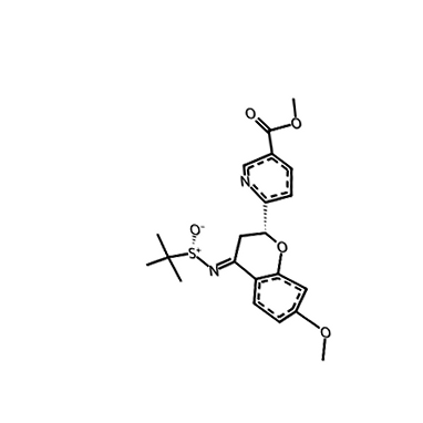 COC(=O)c1ccc([C@H]2C/C(=N\[S@@+]([O-])C(C)(C)C)c3ccc(OC)cc3O2)nc1